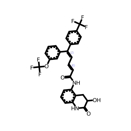 O=C(/C=C/C=C(/c1ccc(C(F)(F)F)cc1)c1cccc(OC(F)(F)F)c1)Nc1cccc2c1CC(O)C(=O)N2